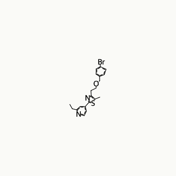 CCc1cc(-c2nc(CCOCc3ccc(Br)cc3)c(C)s2)ccn1